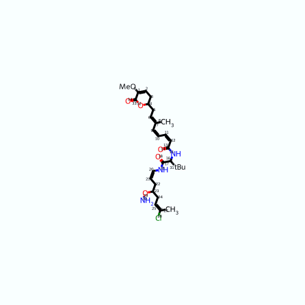 COC1=CCC(C/C=C(C)/C=C\C=C/C(=O)NC(C(=O)N/C=C\CC(C/C=C(\C)Cl)ON)C(C)(C)C)OC1=O